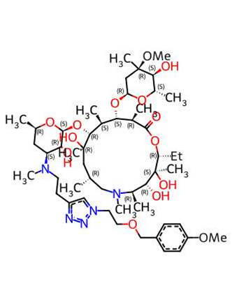 CC[C@H]1OC(=O)[C@H](C)[C@@H](O[C@H]2C[C@@](C)(OC)[C@@H](O)[C@H](C)O2)[C@H](C)[C@@H](O[C@@H]2O[C@H](C)C[C@H](N(C)CCc3cn(CCOCc4ccc(OC)cc4)nn3)[C@H]2O)[C@](C)(O)C[C@@H](C)CN(C)[C@H](C)[C@@H](O)[C@]1(C)O